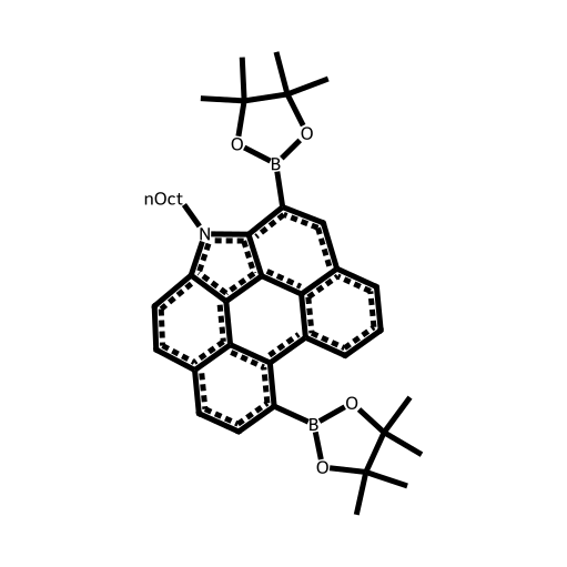 CCCCCCCCn1c2ccc3ccc(B4OC(C)(C)C(C)(C)O4)c4c5cccc6cc(B7OC(C)(C)C(C)(C)O7)c1c(c65)c2c34